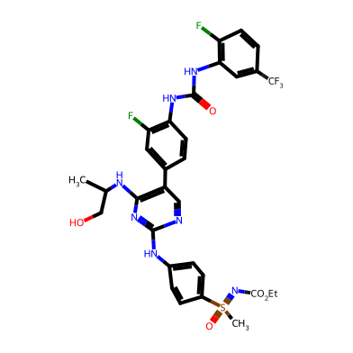 CCOC(=O)N=S(C)(=O)c1ccc(Nc2ncc(-c3ccc(NC(=O)Nc4cc(C(F)(F)F)ccc4F)c(F)c3)c(NC(C)CO)n2)cc1